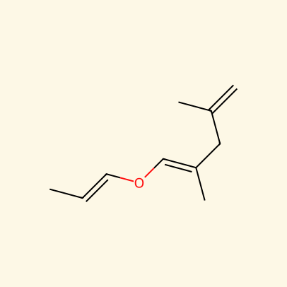 C=C(C)CC(C)=COC=CC